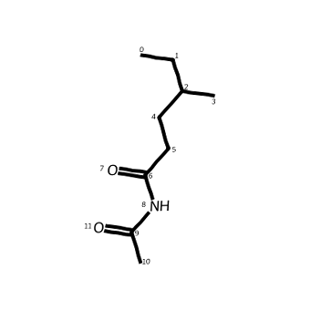 CCC(C)CCC(=O)NC(C)=O